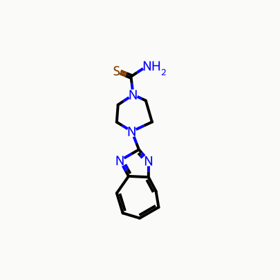 NC(=S)N1CCN(c2nc3cccccc-3n2)CC1